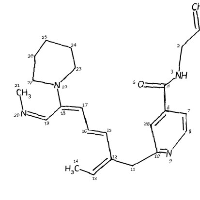 C=CCNC(=O)c1ccnc(CC(=C/C)/C=C/C=C(\C=N/C)N2CCCCC2)c1